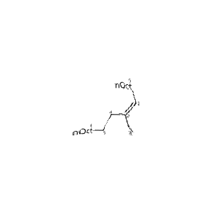 CCCCCCCCC=C(C)CCCCCCCCCC